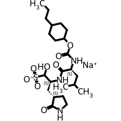 CCCC1CCC(OC(=O)N[C@@H](CC(C)C)C(=O)N[C@@H](C[C@@H]2CCNC2=O)C(O)S(=O)(=O)[O-])CC1.[Na+]